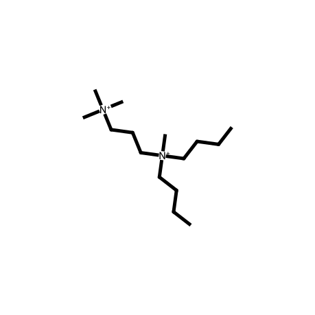 CCCC[N+](C)(CCCC)CCC[N+](C)(C)C